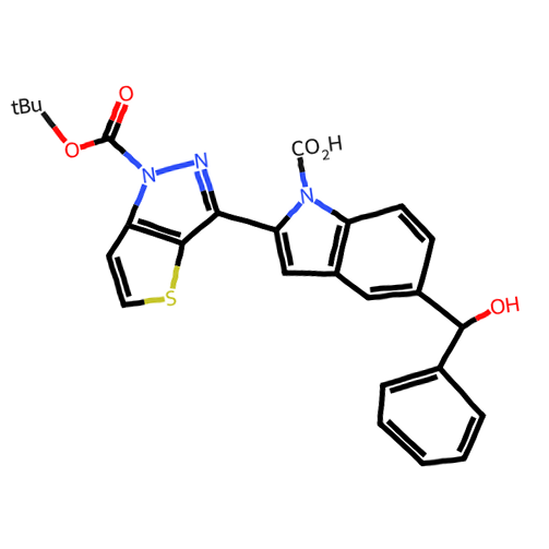 CC(C)(C)OC(=O)n1nc(-c2cc3cc(C(O)c4ccccc4)ccc3n2C(=O)O)c2sccc21